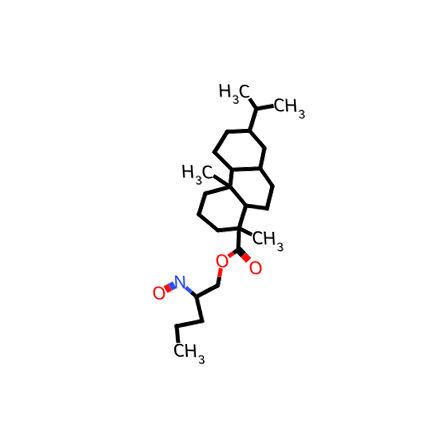 CCCC(COC(=O)C1(C)CCCC2(C)C3CCC(C(C)C)CC3CCC12)N=O